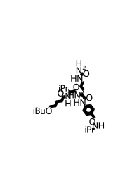 CC(C)COCCCCC(=O)N[C@@H](C(=O)N[C@H](CCCNC(N)=O)C(=O)Nc1ccc(CONC(C)C)cc1)C(C)C